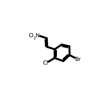 O=[N+]([O-])/C=C/c1ccc(Br)cc1Cl